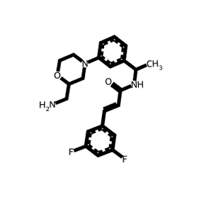 CC(NC(=O)C=Cc1cc(F)cc(F)c1)c1cccc(N2CCOC(CN)C2)c1